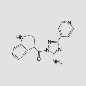 Nc1nc(-c2ccncc2)nn1C(=O)C1CCNc2ccccc21